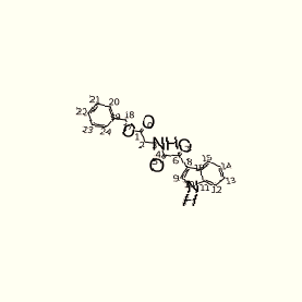 O=C(CNC(=O)C(=O)c1c[nH]c2ccccc12)OCc1ccccc1